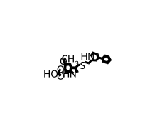 COc1cc2c(CSCCC3CC(c4ccccc4)=CCN3)c[nH]c2cc1OC(=O)O